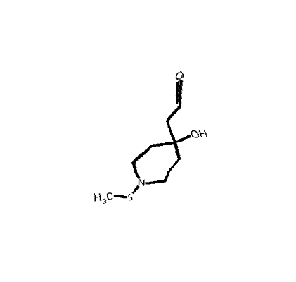 CSN1CCC(O)(CC=O)CC1